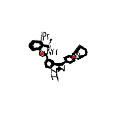 CC(C)C[C@H](NC(=O)c1ccc2[nH]nc(-c3ccc(N4C5CCCC4COC5)cc3)c2c1)c1ccccc1Cl